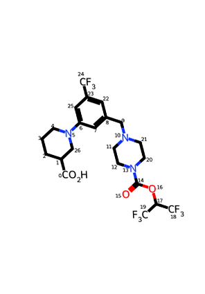 O=C(O)C1CCCN(c2cc(CN3CCN(C(=O)OC(C(F)(F)F)C(F)(F)F)CC3)cc(C(F)(F)F)c2)C1